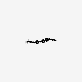 CCCCCCCc1ccc([C@H]2CC[C@H](CC[C@H]3CC[C@H](CCC=CC=C(F)C#N)CC3)CC2)cc1